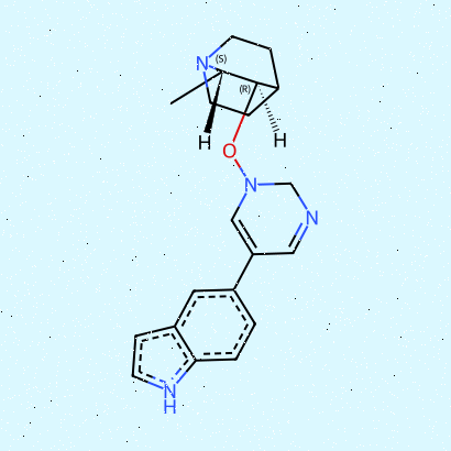 C[C@H]1[C@H](ON2C=C(c3ccc4[nH]ccc4c3)C=NC2)C2CCN1CC2